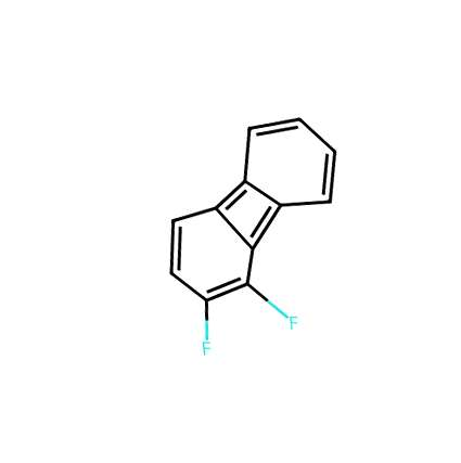 Fc1ccc2c(c1F)=c1ccccc1=2